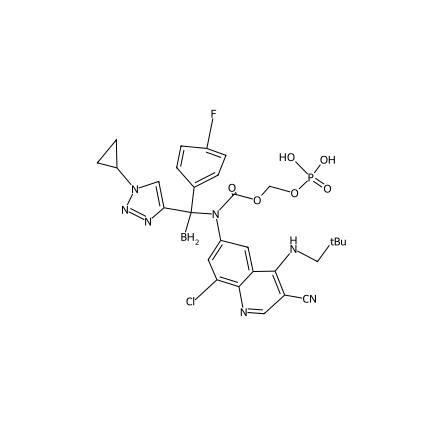 BC(c1ccc(F)cc1)(c1cn(C2CC2)nn1)N(C(=O)OCOP(=O)(O)O)c1cc(Cl)c2ncc(C#N)c(NCC(C)(C)C)c2c1